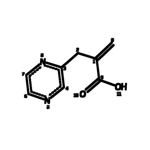 C=C(Cc1cnccn1)C(=O)O